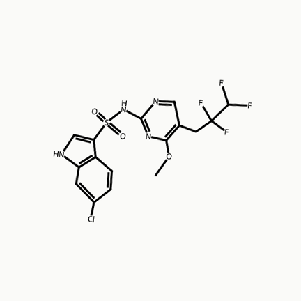 COc1nc(NS(=O)(=O)c2c[nH]c3cc(Cl)ccc23)ncc1CC(F)(F)C(F)F